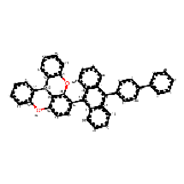 c1ccc(-c2ccc(-c3c4ccccc4c(-c4ccc5c6c4Oc4ccccc4B6c4ccccc4O5)c4ccccc34)cc2)cc1